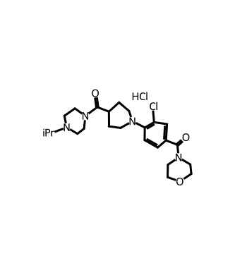 CC(C)N1CCN(C(=O)C2CCN(c3ccc(C(=O)N4CCOCC4)cc3Cl)CC2)CC1.Cl